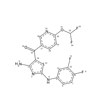 Nc1nc(Nc2ccc(F)c(F)c2)sc1C(=O)c1ccc(OC(F)F)nc1